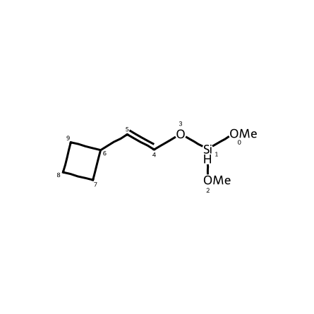 CO[SiH](OC)OC=CC1CCC1